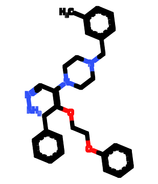 Cc1cccc(CN2CCN(C(/C=N\N)=C(/Cc3ccccc3)OCCOc3ccccc3)CC2)c1